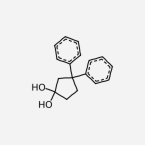 OC1(O)CCC(c2ccccc2)(c2ccccc2)C1